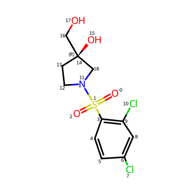 O=S(=O)(c1ccc(Cl)cc1Cl)N1CC[C@](O)(CO)C1